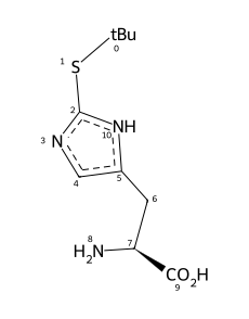 CC(C)(C)Sc1ncc(C[C@H](N)C(=O)O)[nH]1